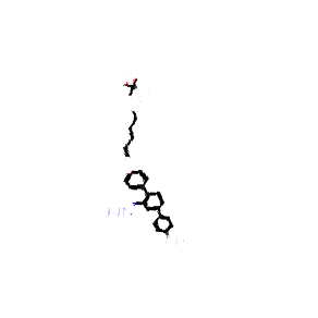 CCCCCc1ccc(-c2ccc(-c3ccc(OCCCCCCOCC4(CC)COC4)cc3)c(C=N)c2)cc1